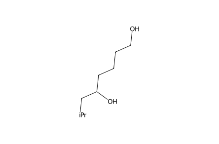 CC(C)CC(O)CCCCO